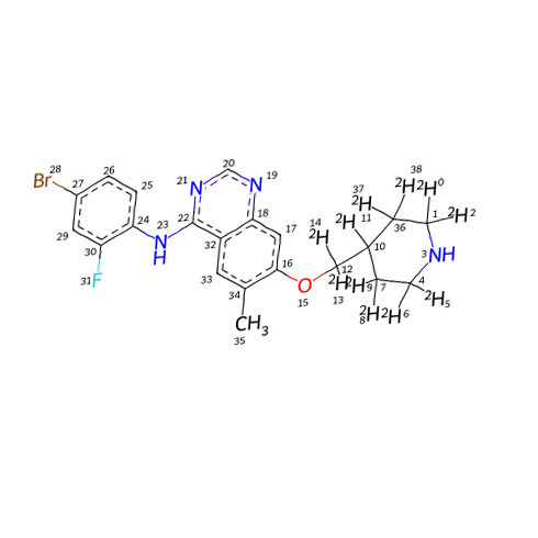 [2H]C1([2H])NC([2H])([2H])C([2H])([2H])C([2H])(C([2H])([2H])Oc2cc3ncnc(Nc4ccc(Br)cc4F)c3cc2C)C1([2H])[2H]